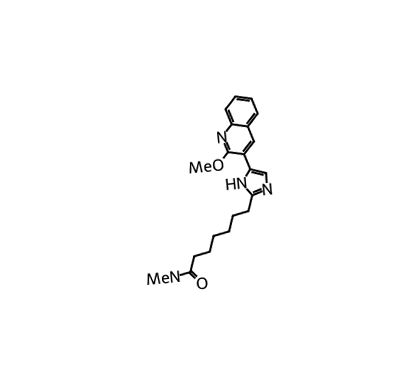 CNC(=O)CCCCCCc1ncc(-c2cc3ccccc3nc2OC)[nH]1